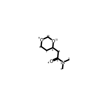 CN(C)C(=O)CC1CCOCO1